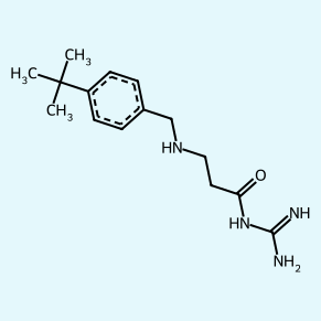 CC(C)(C)c1ccc(CNCCC(=O)NC(=N)N)cc1